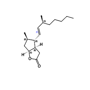 CCCCC[C@H](C)/C=C/[C@@H]1[C@H]2CC(=O)O[C@H]2C[C@H]1C